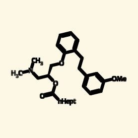 CCCCCCCC(=O)O[C@H](COc1ccccc1CCc1cccc(OC)c1)CN(C)C